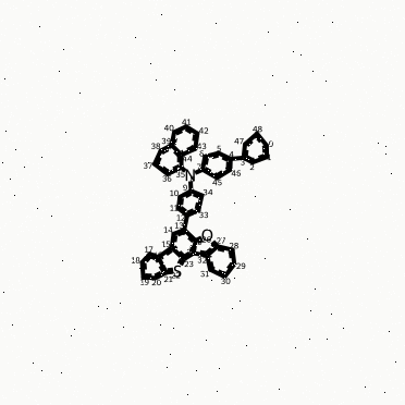 c1ccc(-c2ccc(N(c3ccc(-c4cc5c6ccccc6sc5c5c4oc4ccccc45)cc3)c3cccc4ccccc34)cc2)cc1